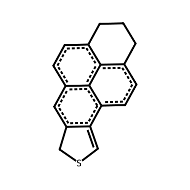 C1=c2c(cc3ccc4c5c(ccc2c35)CCC4)CS1